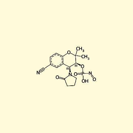 CC1(C)Oc2ccc(C#N)cc2[C@H](N2CCCC2=O)[C@@H]1OP(=O)(O)N=O